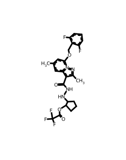 Cc1cc(OCc2c(F)cccc2F)n2nc(C)c(C(=O)NNC3CCCC3OC(=O)C(F)(F)F)c2c1